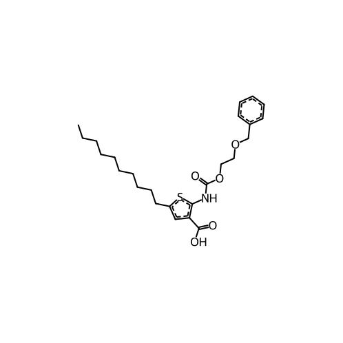 CCCCCCCCCCc1cc(C(=O)O)c(NC(=O)OCCOCc2ccccc2)s1